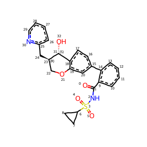 O=C(NS(=O)(=O)C1CC1)c1ccccc1-c1ccc2c(c1)OC[C@@H](Cc1ccccn1)[C@@H]2O